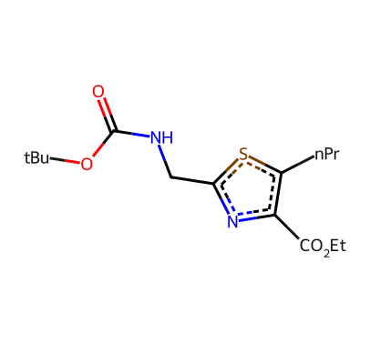 CCCc1sc(CNC(=O)OC(C)(C)C)nc1C(=O)OCC